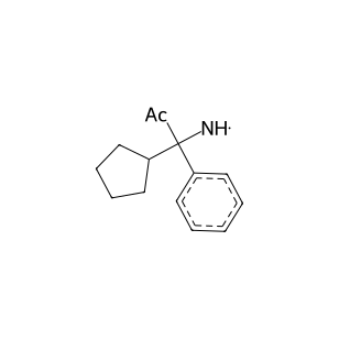 CC(=O)C([NH])(c1ccccc1)C1CCCC1